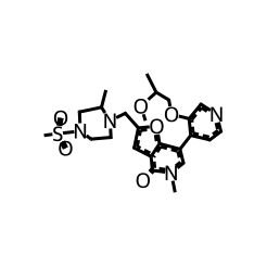 COC(C)COc1cnccc1-c1cn(C)c(=O)c2cc(CN3CCN(S(C)(=O)=O)CC3C)oc12